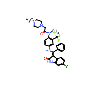 CN1CCN(CC(=O)N(C)c2ccc(N/C(=C3\C(=O)Nc4cc(Cl)ccc43)c3ccccc3)cc2C(F)(F)F)CC1